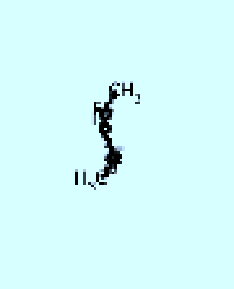 CCCCCc1ccc(C2CCC(/C=C/CCc3ccc(OCCC)c(F)c3F)CC2)c(F)c1F